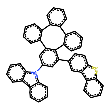 c1ccc2c(c1)-c1ccccc1-c1cc(-n3c4ccccc4c4ccccc43)cc(-c3ccc4sc5ccccc5c4c3)c1-c1ccccc1-2